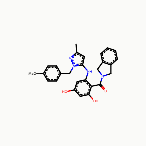 COc1ccc(Cn2nc(C)cc2Nc2cc(O)cc(O)c2C(=O)N2Cc3ccccc3C2)cc1